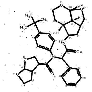 CC(C)(C)c1ccc(N(C(=O)C2COC3OCCC32)C(C(=O)NC2CC3CO[C@H]4OCC[C@@H]2[C@@H]34)c2cccnc2)cc1